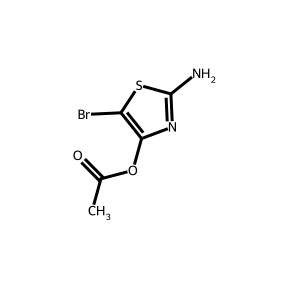 CC(=O)Oc1nc(N)sc1Br